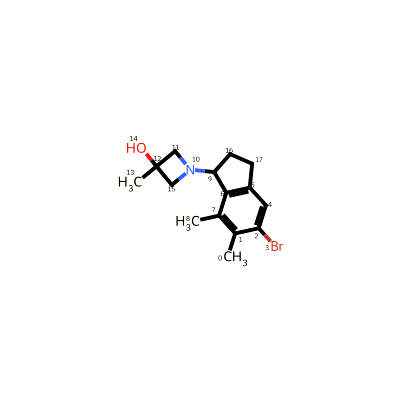 Cc1c(Br)cc2c(c1C)C(N1CC(C)(O)C1)CC2